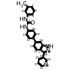 Cc1cccc(NC(=O)Nc2ccc(-c3ccc4c(-c5cccnc5)n[nH]c4c3)cc2)c1